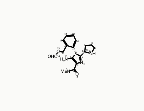 CNC(=O)c1nc([C@H]2CCCN2)sc1N.O=COCc1ccccc1